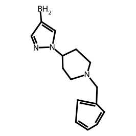 Bc1cnn(C2CCN(Cc3ccccc3)CC2)c1